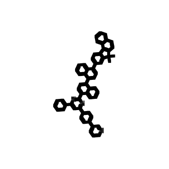 CC1(C)c2cc(-c3ccc(-c4ccc(-c5nc(-c6ccccc6)cc(-c6ccc(-c7cccnc7)cc6)n5)c5ccccc45)c4ccccc34)ccc2-c2c1ccc1ccccc21